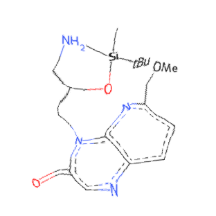 COc1ccc2ncc(=O)n(CC(CN)O[Si](C)(C)C(C)(C)C)c2n1